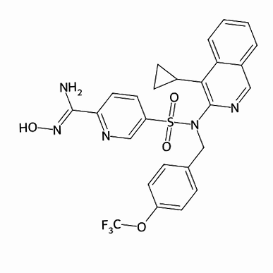 N/C(=N\O)c1ccc(S(=O)(=O)N(Cc2ccc(OC(F)(F)F)cc2)c2ncc3ccccc3c2C2CC2)cn1